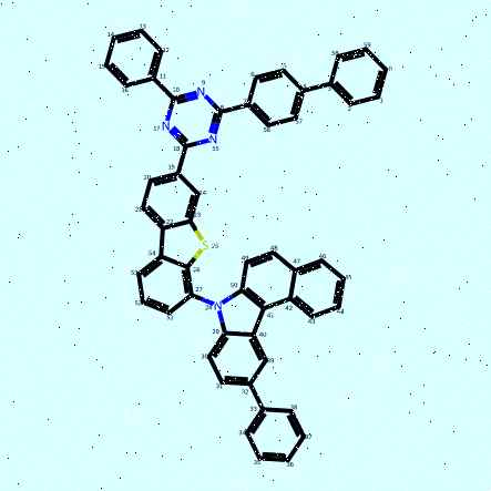 c1ccc(-c2ccc(-c3nc(-c4ccccc4)nc(-c4ccc5c(c4)sc4c(-n6c7ccc(-c8ccccc8)cc7c7c8ccccc8ccc76)cccc45)n3)cc2)cc1